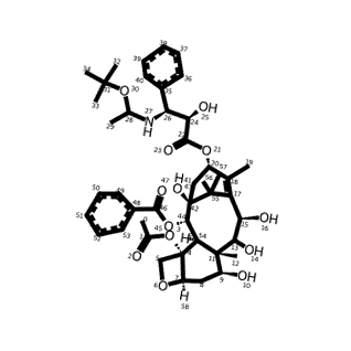 CC(=O)O[C@@]12CO[C@@H]1C[C@H](O)[C@@]1(C)C(O)[C@H](O)C3=C(C)[C@@H](OC(=O)[C@H](O)[C@@H](NC(C)OC(C)(C)C)c4ccccc4)C[C@@](O)([C@@H](OC(=O)c4ccccc4)[C@H]21)C3(C)C